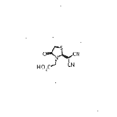 N#CC(C#N)=C1SCC(=O)N1CC(=O)O